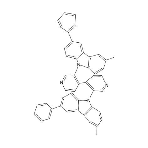 Cc1ccc2c(c1)c1cc(-c3ccccc3)ccc1n2-c1cnccc1-c1ccncc1-n1c2ccc(C)cc2c2cc(-c3ccccc3)ccc21